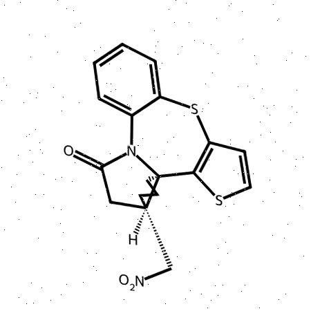 O=C1C[C@H]2[C@H](C[N+](=O)[O-])CC[C@]23c2sccc2Sc2ccccc2N13